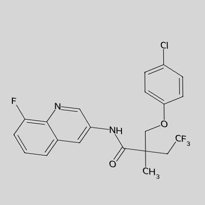 CC(COc1ccc(Cl)cc1)(CC(F)(F)F)C(=O)Nc1cnc2c(F)cccc2c1